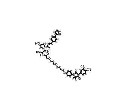 CC(C)(C)C(NC(=O)COCCCOCCCCOc1ccc(N2C(=S)N(c3ccc(C#N)c(C(F)(F)F)c3)C(=O)C2(C)C)cc1)C(=O)N1C[C@H](O)C[C@H]1C(=O)NCc1ccc(-c2ccn[nH]2)cc1